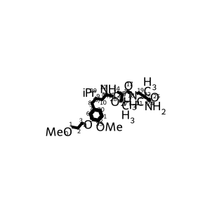 COCCCOc1cc(C[C@@H](C[C@H](N)[C@@H]2C[C@H](C(=O)NCC(C)(C)C(N)=O)C(C)O2)C(C)C)ccc1OC